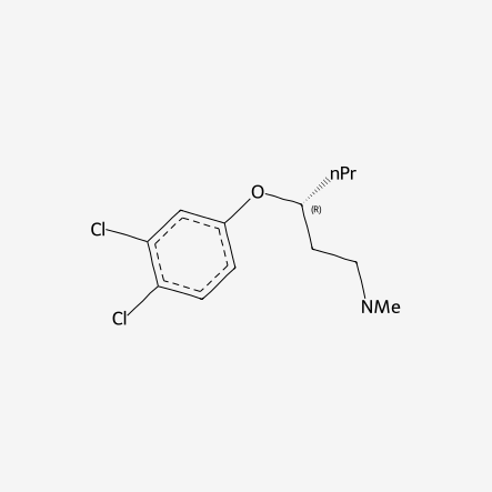 CCC[C@H](CCNC)Oc1ccc(Cl)c(Cl)c1